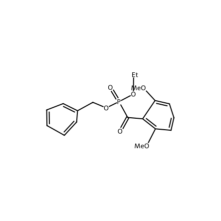 CCOP(=O)(OCc1ccccc1)C(=O)c1c(OC)cccc1OC